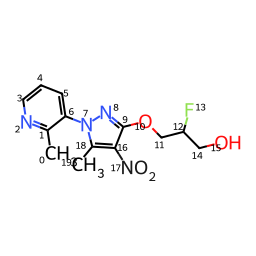 Cc1ncccc1-n1nc(OCC(F)CO)c([N+](=O)[O-])c1C